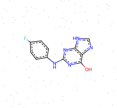 Oc1nc(Nc2ccc(F)cc2)nc2[nH]cnc12